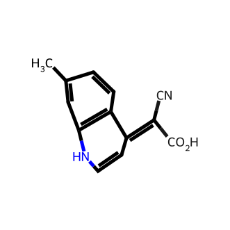 Cc1ccc2c(c1)NC=C/C2=C(/C#N)C(=O)O